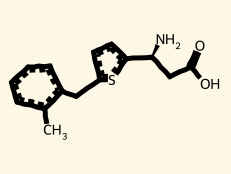 Cc1ccccc1Cc1ccc([C@@H](N)CC(=O)O)s1